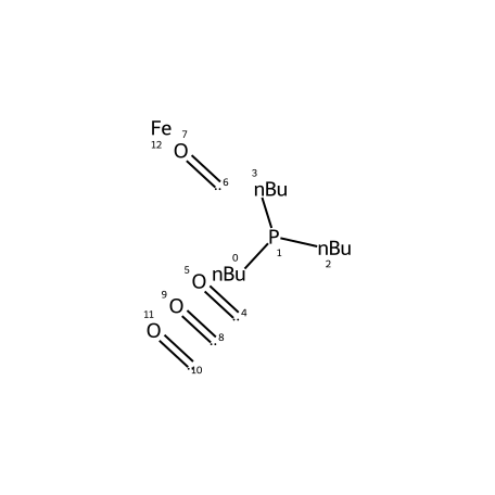 CCCCP(CCCC)CCCC.[C]=O.[C]=O.[C]=O.[C]=O.[Fe]